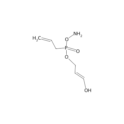 C=CCP(=O)(ON)OCC=CO